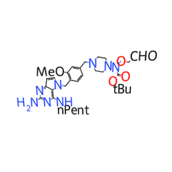 CCCCCNc1nc(N)nc2ccn(Cc3ccc(CN4CCN(N(OCC=O)C(=O)OC(C)(C)C)CC4)cc3OC)c12